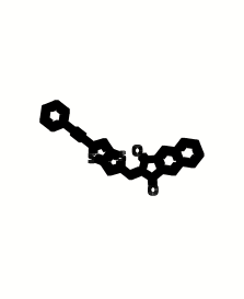 O=C1C(=Cc2cc3sc(C#Cc4ccccc4)cc3s2)C(=O)c2cc3ccccc3cc21